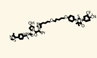 Cc1ncsc1-c1ccc([C@H](C)NC(=O)[C@@H]2C[C@@H](O)CN2C(=O)C(C(C)C)n2cnc(CCCCOCCCCCOc3ccc(N4C(=S)N(c5ccc(C#N)c(C(F)(F)F)c5)C(=O)C4(C)C)cc3)c2)cc1